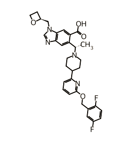 C[C@@H](c1cc2ncn(C[C@@H]3CCO3)c2cc1C(=O)O)N1CCC(c2cccc(OCc3cc(F)ccc3F)n2)CC1